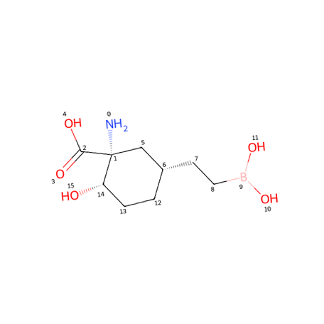 N[C@]1(C(=O)O)C[C@H](CCB(O)O)CC[C@@H]1O